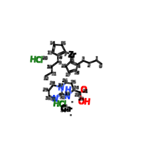 CCCCC1=[C]([Zr][C]2=C(CCCC)C=CC2)CC=C1.Cl.Cl.O=C(O)C1CCN2CCCN=C2N1.[Ga]